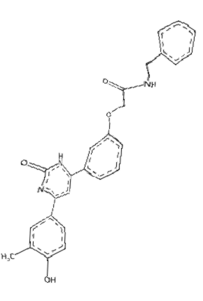 Cc1cc(-c2cc(-c3cccc(OCC(=O)NCc4ccccc4)c3)[nH]c(=O)n2)ccc1O